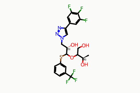 C[C@@H](O)C(CO)OC(Sc1cccc(C(F)(F)F)c1)[C@@H](O)Cn1cc(-c2cc(F)c(F)c(F)c2)nn1